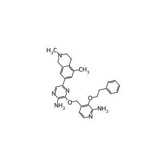 Cc1cc(-c2cnc(N)c(OCc3ccnc(N)c3OCCc3ccccc3)n2)cc2c1CCN(C)C2